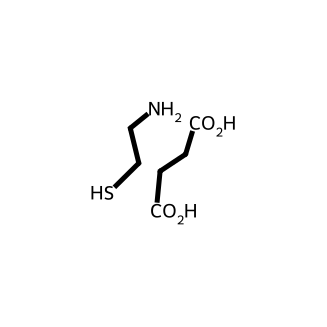 NCCS.O=C(O)CCC(=O)O